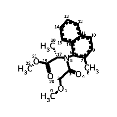 COCC(=O)N(c1c(C)ccc2ccccc12)[C@@H](C)C(=O)OC